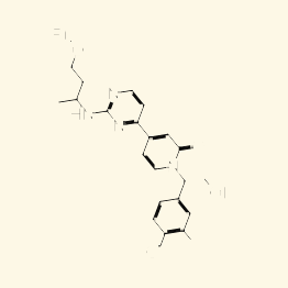 CCOCCC(C)Nc1nccc(-c2ccn([C@H](CO)c3ccc(Cl)c(F)c3)c(=O)c2)n1